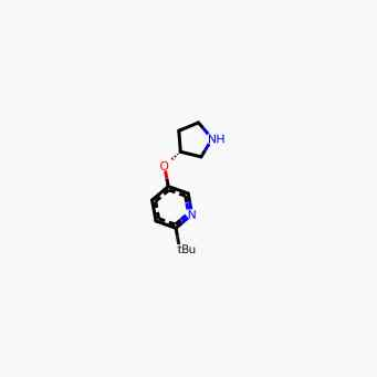 CC(C)(C)c1ccc(O[C@@H]2CCNC2)cn1